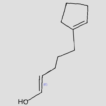 O/C=C/CCCC1=CCCC1